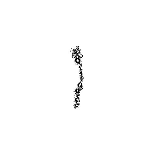 O=C1CCC(N2C(=O)c3ccc(OCCOCCOCCN4CCN(c5ccc6nc(-c7ccc(N8CCCC8)nc7)sc6c5)C(=O)C4)cc3C2=O)C(=O)N1